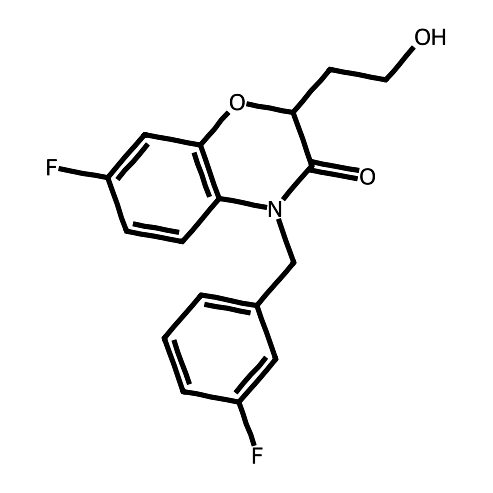 O=C1C(CCO)Oc2cc(F)ccc2N1Cc1cccc(F)c1